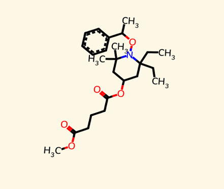 CCC1(CC)CC(OC(=O)CCCC(=O)OC)CC(C)(C)N1OC(C)c1ccccc1